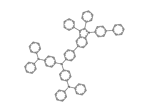 c1ccc(-c2ccc(-n3c(-c4ccccc4)c(-c4ccccc4)c4cc(-c5ccc(N(c6ccc(N(c7ccccc7)c7ccccc7)cc6)c6ccc(N(c7ccccc7)c7ccccc7)cc6)cc5)ccc43)cc2)cc1